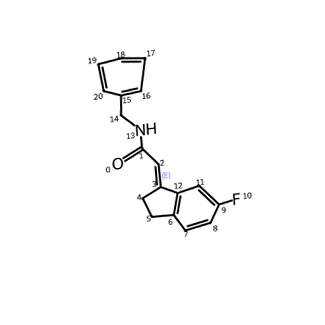 O=C(/C=C1\CCc2ccc(F)cc21)NCc1ccccc1